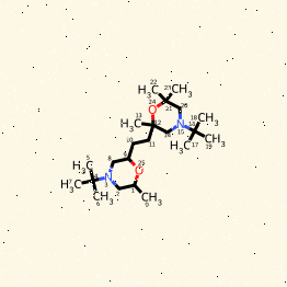 CC1CN(C(C)(C)C)CC(CCC2(C)CN(C(C)(C)C)CC(C)(C)O2)O1